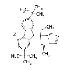 C=CCC(CC)(C1=CC=CC1)C1c2cc(C(C)(C)C)ccc2-c2ccc(C(C)(C)C)cc21.[Zr]